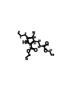 CCCc1[nH]c(C(=O)OCC)c(CCC(=O)OCC)c1C